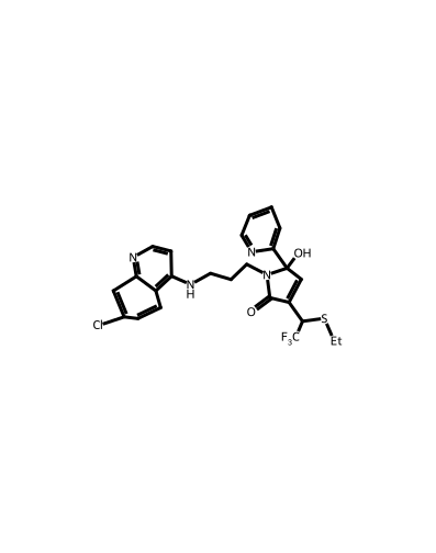 CCSC(C1=CC(O)(c2ccccn2)N(CCCNc2ccnc3cc(Cl)ccc23)C1=O)C(F)(F)F